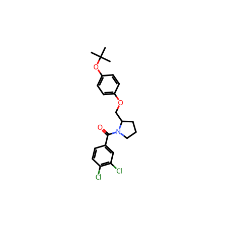 CC(C)(C)Oc1ccc(OCC2CCCN2C(=O)c2ccc(Cl)c(Cl)c2)cc1